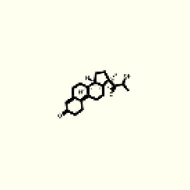 CC(O)C(=O)[C@]1(C)CC[C@H]2[C@@H]3CCC4=CC(=O)CCC4=C3CC[C@@]21C